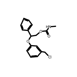 CNC(=O)OCC(Oc1cccc(CCl)c1)c1ccccc1